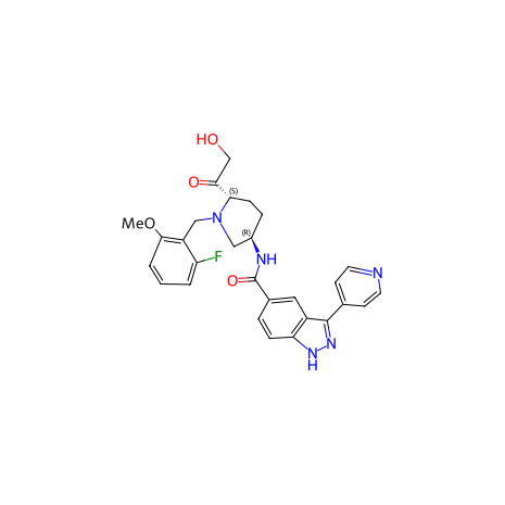 COc1cccc(F)c1CN1C[C@H](NC(=O)c2ccc3[nH]nc(-c4ccncc4)c3c2)CC[C@H]1C(=O)CO